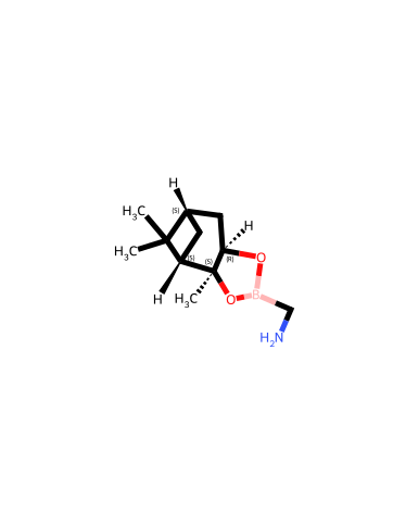 CC1(C)[C@@H]2C[C@H]3OB(CN)O[C@@]3(C)[C@H]1C2